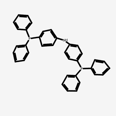 c1ccc(P(c2ccccc2)c2ccc(Nc3ccc(P(c4ccccc4)c4ccccc4)cc3)cc2)cc1